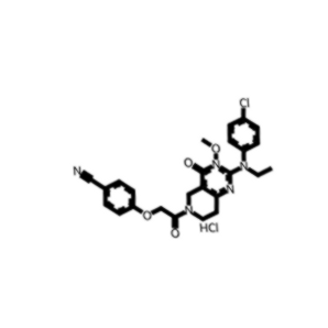 CCN(c1ccc(Cl)cc1)c1nc2c(c(=O)n1OC)CN(C(=O)COc1ccc(C#N)cc1)CC2.Cl